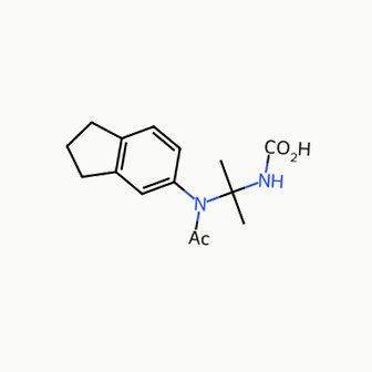 CC(=O)N(c1ccc2c(c1)CCC2)C(C)(C)NC(=O)O